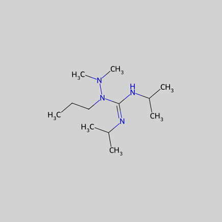 CCCN(C(=NC(C)C)NC(C)C)N(C)C